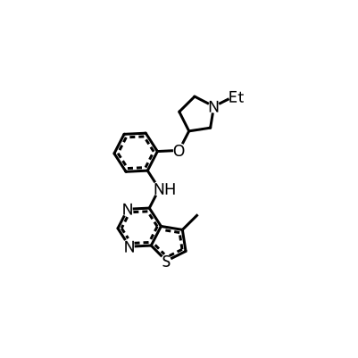 CCN1CCC(Oc2ccccc2Nc2ncnc3scc(C)c23)C1